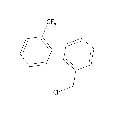 ClCc1ccccc1.FC(F)(F)c1ccccc1